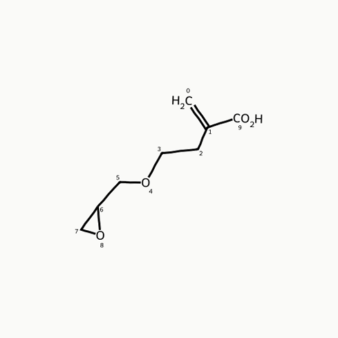 C=C(CCOCC1CO1)C(=O)O